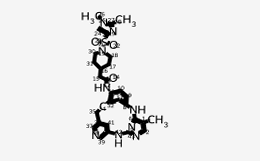 Cc1cnc2nc1Nc1ccc(NC(=O)CC3CCN(S(=O)(=O)c4cn(C)c(C)n4)CC3)c(c1)CCc1cncc(c1)N2